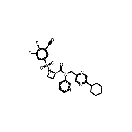 N#Cc1cc(S(=O)(=O)N2CC[C@@H]2C(=O)N(Cc2cnc(C3CCCCC3)cn2)c2cccnc2)cc(F)c1F